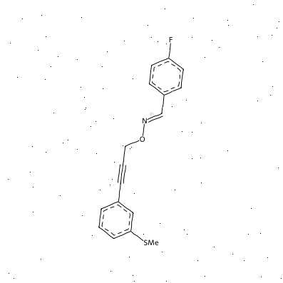 CSc1cccc(C#CCO/N=C/c2ccc(F)cc2)c1